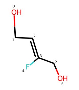 OCC=C(F)CO